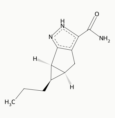 CCC[C@@H]1[C@@H]2Cc3c(n[nH]c3C(N)=O)[C@H]12